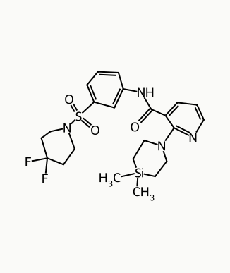 C[Si]1(C)CCN(c2ncccc2C(=O)Nc2cccc(S(=O)(=O)N3CCC(F)(F)CC3)c2)CC1